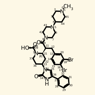 CN1CCC(N2CCN(C(=O)C(Cc3ccc(Br)c(Br)c3)[C@H]3CC(n4cc(-c5ccccc5)[nH]c4=O)CCN3C(=O)O)CC2)CC1